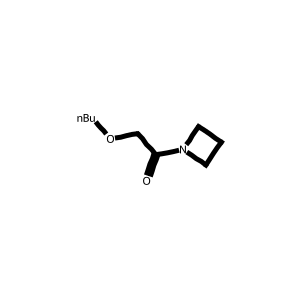 CCCCOCC(=O)N1CCC1